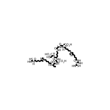 C=C[C@H](NC(=O)CCCCn1cc(CCCC(=O)NC(=N)S)nn1)C(=O)N[C@@H](CC(=O)O)C(=O)NC(CCCCNC(=O)[C@H](C)NC(=O)[C@H](CC(=O)O)NC(=O)CCCCn1cc(CCCC(=O)NC(=N)SC(=N)S)nn1)C(=O)N[C@@H](CS)C(=O)O